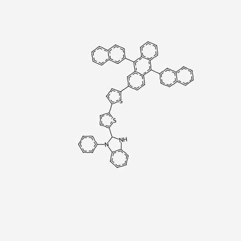 c1ccc(N2c3ccccc3NC2c2ccc(-c3ccc(-c4ccc5c(-c6ccc7ccccc7c6)c6ccccc6c(-c6ccc7ccccc7c6)c5c4)s3)s2)cc1